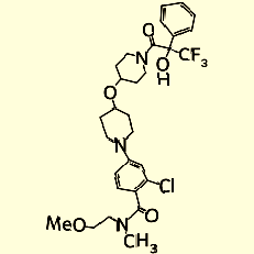 COCCN(C)C(=O)c1ccc(N2CCC(OC3CCN(C(=O)C(O)(c4ccccc4)C(F)(F)F)CC3)CC2)cc1Cl